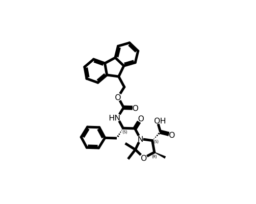 C[C@H]1OC(C)(C)N(C(=O)[C@H](Cc2ccccc2)NC(=O)OCC2c3ccccc3-c3ccccc32)[C@@H]1C(=O)O